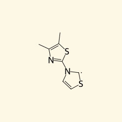 Cc1nc(N2[CH]SC=C2)sc1C